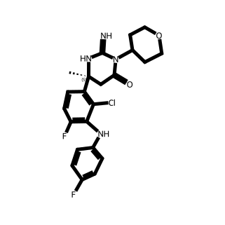 C[C@@]1(c2ccc(F)c(Nc3ccc(F)cc3)c2Cl)CC(=O)N(C2CCOCC2)C(=N)N1